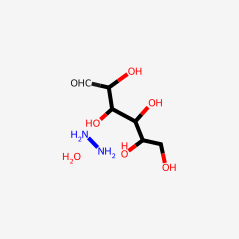 NN.O.O=CC(O)C(O)C(O)C(O)CO